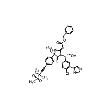 CC(C)(C)C[C@]1(c2ccc(C#CC(C)(C)S(C)(=O)=O)cc2)NC(=NC(=O)OCc2ccccc2)N([C@H](CO)c2ccc(Cl)c(-n3cncn3)c2)C1=O